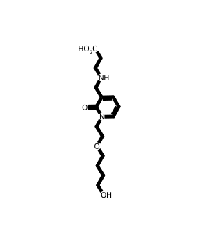 O=C(O)CCNCc1cccn(CCOCCCCO)c1=O